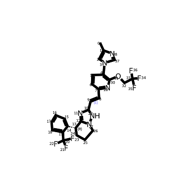 Cc1cn(-c2ccc(/C=C/C3N=C4[C@@H](c5ccccc5C(F)(F)F)CCCN4N3)nc2OCC(F)(F)F)cn1